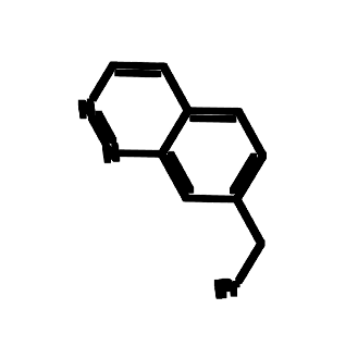 CC(C)Cc1ccc2ccnnc2c1